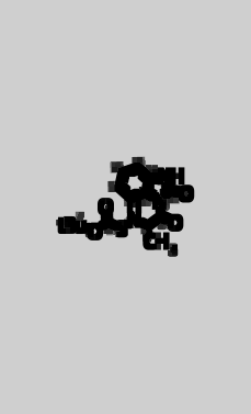 C[C@H](NSC(=O)OC(C)(C)C)C(=O)n1c(=O)[nH]c2ccccc21